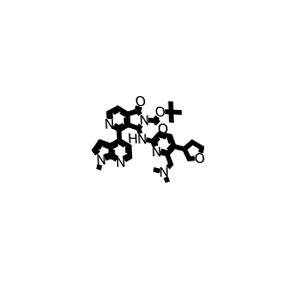 CN(C)Cc1nc(NC2c3c(ccnc3-c3ccnc4c3ccn4C)C(=O)N2C(=O)OC(C)(C)C)ccc1C1CCOC1